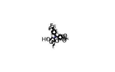 CCOC(=O)/C(CC(=O)O)=C(/c1ccc(C(F)(F)F)cc1)c1ccc(S(C)(=O)=O)cc1